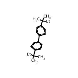 CCC(C)(C)c1ccc(-c2ccc(C(C)(C)CC)cc2)cc1